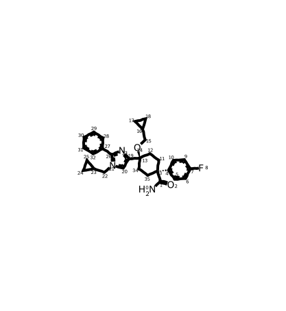 NC(=O)[C@]1(c2ccc(F)cc2)CC[C@@](OCC2CC2)(c2cn(CC3CC3)c(-c3ccccc3)n2)CC1